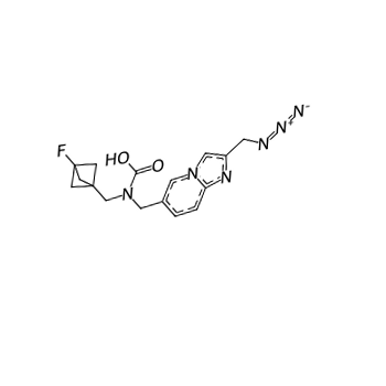 [N-]=[N+]=NCc1cn2cc(CN(CC34CC(F)(C3)C4)C(=O)O)ccc2n1